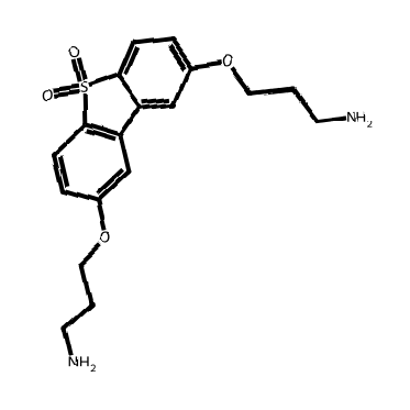 NCCCOc1ccc2c(c1)-c1cc(OCCCN)ccc1S2(=O)=O